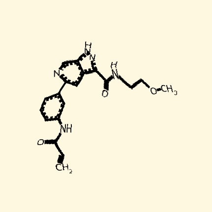 C=CC(=O)Nc1cccc(-c2cc3c(C(=O)NCCOC)n[nH]c3cn2)c1